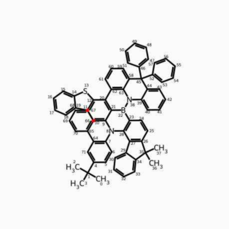 CC(C)(C)c1ccc(N2c3cc4c(sc5ccccc54)c4c3B(c3ccc5c(c32)-c2ccccc2C5(C)C)N2c3ccccc3C(c3ccccc3)(c3ccccc3)c3cccc-4c32)c(-c2ccccc2)c1